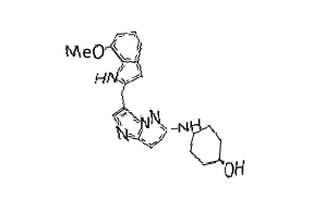 COc1cccc2cc(-c3cnc4ccc(N[C@H]5CC[C@H](O)CC5)nn34)[nH]c12